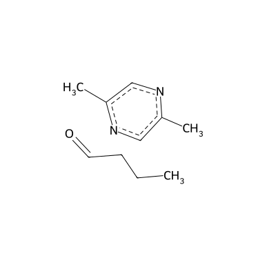 CCCC=O.Cc1cnc(C)cn1